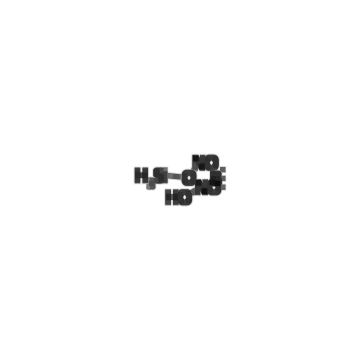 O=NO.O=NO[SiH3].[B]